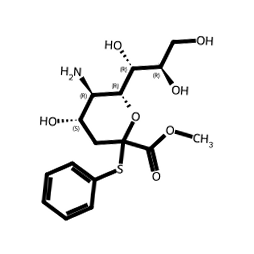 COC(=O)C1(Sc2ccccc2)C[C@H](O)[C@@H](N)[C@H]([C@H](O)[C@H](O)CO)O1